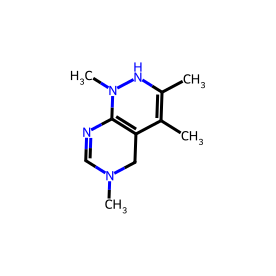 CC1=C(C)C2=C(N=CN(C)C2)N(C)N1